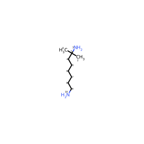 CC(C)(N)CCCCCCN